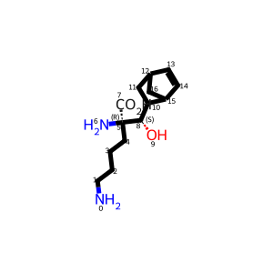 NCCCC[C@](N)(C(=O)O)[C@@H](O)C1CC2C=CC1C2